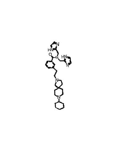 O=C(c1cccc(CCN2CCC3(CCN(C4CCCCC4)CC3)C2)c1)N(Cc1ncc[nH]1)Cc1ncc[nH]1